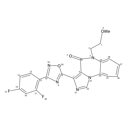 COCCn1c(=O)c2c(-c3nc(-c4ccc(F)cc4F)no3)ncn2c2ccccc21